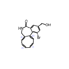 O=C1NCC2=C/C=C\C=C/C=C\2c2c(Br)cc(CO)cc21